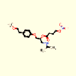 COCCc1ccc(OCC(CNC(C)C)OC(=O)CCCO[N+](=O)[O-])cc1